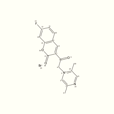 Cc1c[n+](CC(=O)c2cc3ccc(F)cc3oc2=O)c(C)cn1.[Br-]